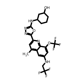 Cc1cc(-c2nnc(NC3CCCC(O)C3)o2)nc2c(OC(F)(F)F)cc(NCC(F)(F)F)cc12